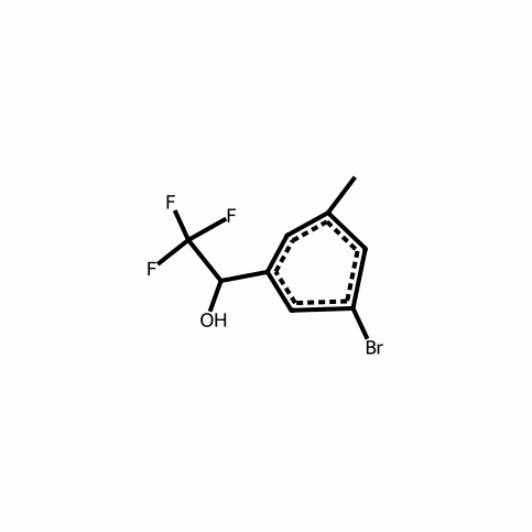 Cc1cc(Br)cc(C(O)C(F)(F)F)c1